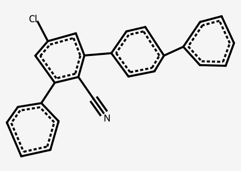 N#Cc1c(-c2ccccc2)cc(Cl)cc1-c1ccc(-c2ccccc2)cc1